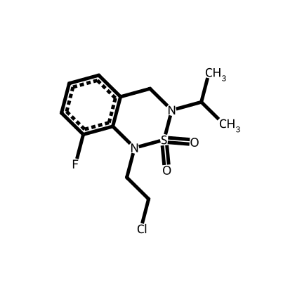 CC(C)N1Cc2cccc(F)c2N(CCCl)S1(=O)=O